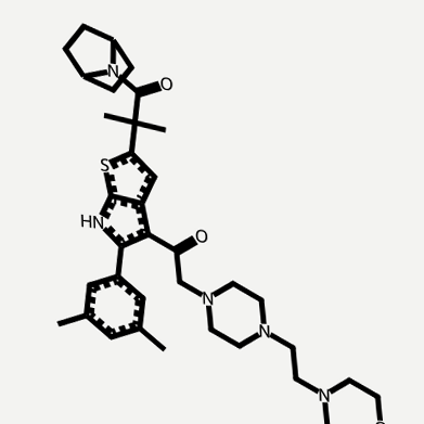 Cc1cc(C)cc(-c2[nH]c3sc(C(C)(C)C(=O)N4C5CCC4CC5)cc3c2C(=O)CN2CCN(CCN3CCOCC3)CC2)c1